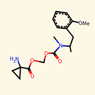 COc1ccccc1CC(C)N(C)C(=O)OCOC(=O)C1(N)CC1